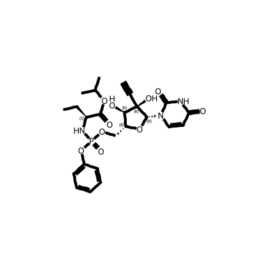 C#C[C@@]1(O)[C@H](O)[C@@H](COP(=O)(N[C@@H](CC)C(=O)OC(C)C)Oc2ccccc2)O[C@H]1n1ccc(=O)[nH]c1=O